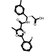 Cc1cccc([C@H](CC(=O)O)NC(=O)c2nc(-c3ccccc3F)oc2C)c1